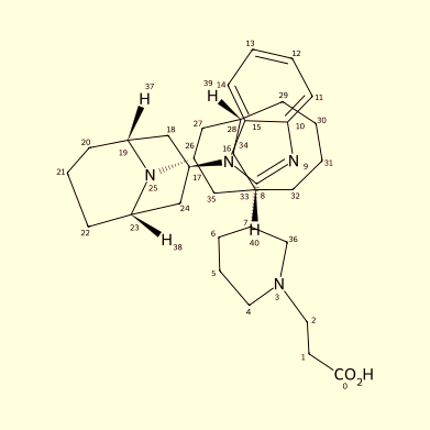 O=C(O)CCN1CCC[C@H](c2nc3ccccc3n2[C@@H]2C[C@H]3CCC[C@@H](C2)N3[C@@H]2C[C@@H]3CCCC[C@@H](C3)C2)C1